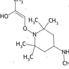 CNC1CC(C)(C)N(O/C=C(/C)O)C(C)(C)C1